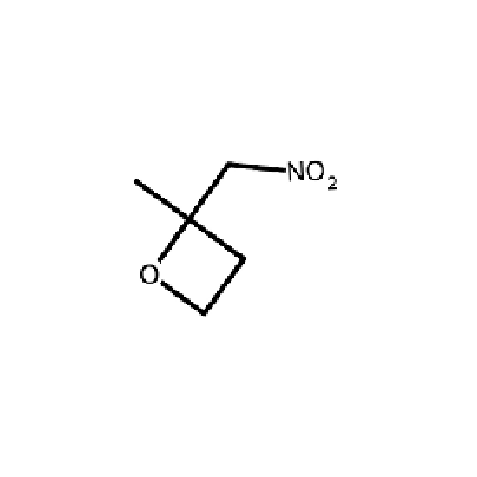 CC1(C[N+](=O)[O-])CCO1